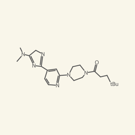 CN(C)C1=NC(c2ccnc(N3CCN(C(=O)CCC(C)(C)C)CC3)c2)=NC1